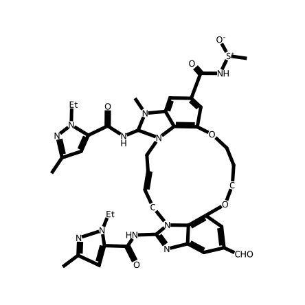 CCn1nc(C)cc1C(=O)Nc1nc2cc(C=O)cc3c2n1C/C=C/CN1c2c(cc(C(=O)N[S+](C)[O-])cc2N(C)C1NC(=O)c1cc(C)nn1CC)OCCCO3